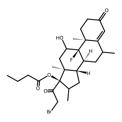 CCCC(=O)O[C@]1(C(=O)CBr)C(C)C[C@H]2[C@@H]3CC(C)C4=CC(=O)CC[C@]4(C)[C@@]3(F)C(O)C[C@@]21C